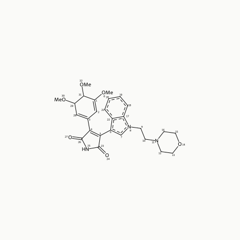 COC1=CC(C2=C(c3cn(CCN4CCOCC4)c4ccccc34)C(=O)NC2=O)=CC(OC)C1OC